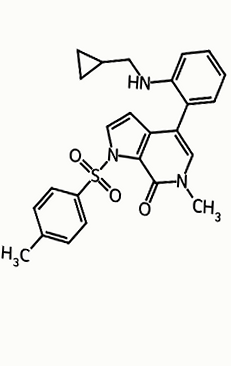 Cc1ccc(S(=O)(=O)n2ccc3c(-c4ccccc4NCC4CC4)cn(C)c(=O)c32)cc1